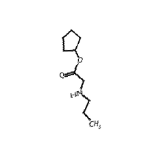 CCCNCC(=O)OC1CCCC1